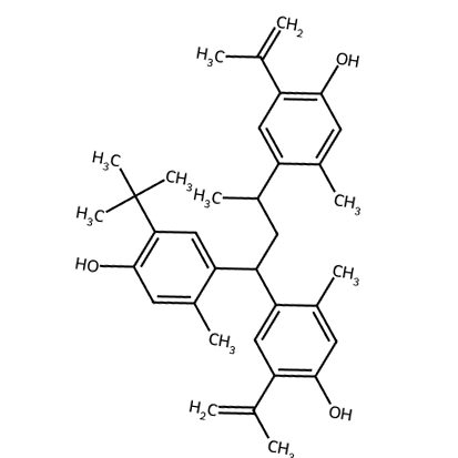 C=C(C)c1cc(C(C)CC(c2cc(C(=C)C)c(O)cc2C)c2cc(C(C)(C)C)c(O)cc2C)c(C)cc1O